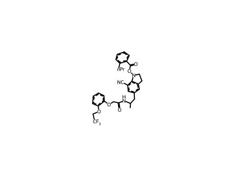 CCCc1ccccc1C(=O)ON1CCc2cc(CC(C)NC(=O)COc3ccccc3OCC(F)(F)F)cc(C#N)c21